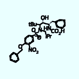 CC(C)CN(C([C@H](O)[C@H](Cc1ccccc1)NC(=O)O)C(C)(C)C)S(=O)(=O)c1ccc(OCc2ccccc2)c([N+](=O)[O-])c1